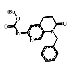 CC(C)(C)OC(=O)Nc1cc2c(cn1)N(Cc1ccccc1)C(=O)CC2